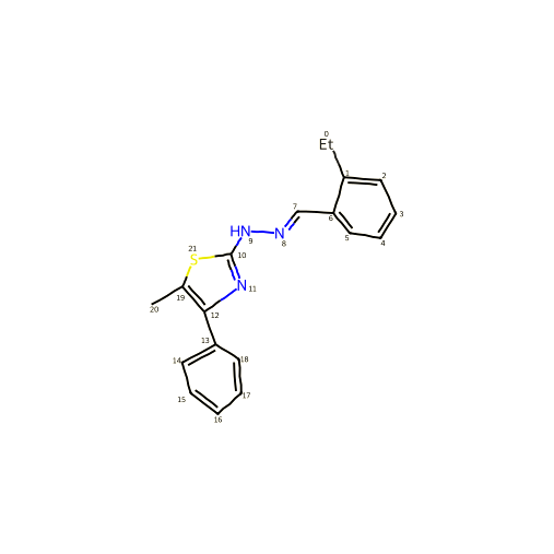 CCc1ccccc1/C=N/Nc1nc(-c2ccccc2)c(C)s1